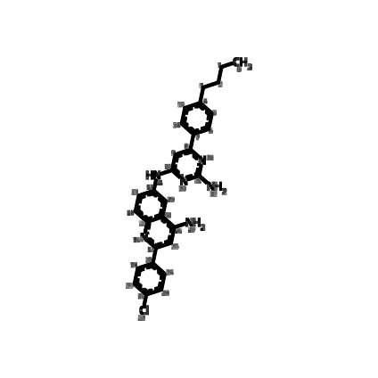 CCCCc1ccc(-c2cc(Nc3ccc4nc(-c5ccc(Cl)cc5)cc(N)c4c3)nc(N)n2)cc1